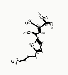 CCCCc1ccc(C(=O)C=C(O)C(=O)O)o1